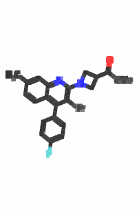 COC(=O)C1CN(c2nc3cc(C)ccc3c(-c3ccc(F)cc3)c2C(C)C)C1